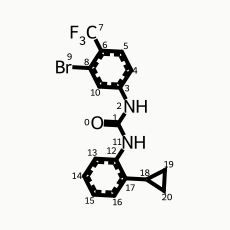 O=C(Nc1ccc(C(F)(F)F)c(Br)c1)Nc1ccccc1C1CC1